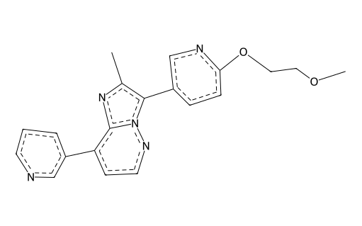 COCCOc1ccc(-c2c(C)nc3c(-c4cccnc4)ccnn23)cn1